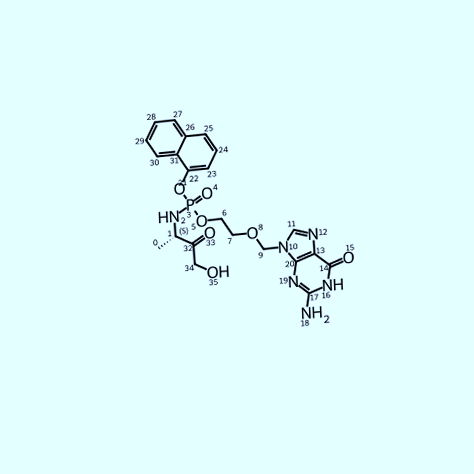 C[C@H](NP(=O)(OCCOCn1cnc2c(=O)[nH]c(N)nc21)Oc1cccc2ccccc12)C(=O)CO